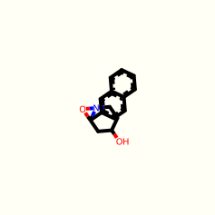 OC1CCN2OC2(c2ccc3ccccc3c2)C1